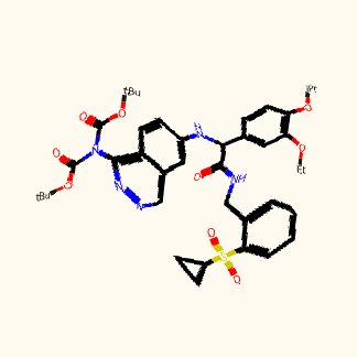 CCOc1cc(C(Nc2ccc3c(N(C(=O)OC(C)(C)C)C(=O)OC(C)(C)C)nncc3c2)C(=O)NCc2ccccc2S(=O)(=O)C2CC2)ccc1OC(C)C